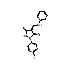 CC1NN(c2ccc(Cl)cc2)C(=O)C1=CNc1ccccc1